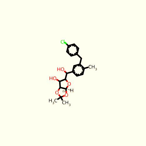 Cc1ccc(C(O)C2O[C@H]3OC(C)(C)OC3C2O)cc1Cc1ccc(Cl)cc1